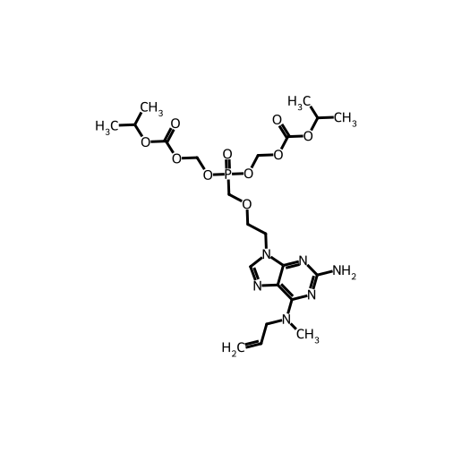 C=CCN(C)c1nc(N)nc2c1ncn2CCOCP(=O)(OCOC(=O)OC(C)C)OCOC(=O)OC(C)C